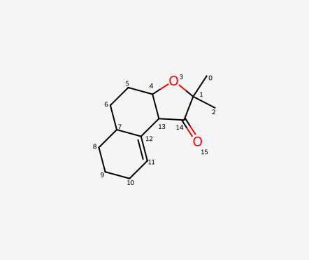 CC1(C)OC2CCC3CCCC=C3C2C1=O